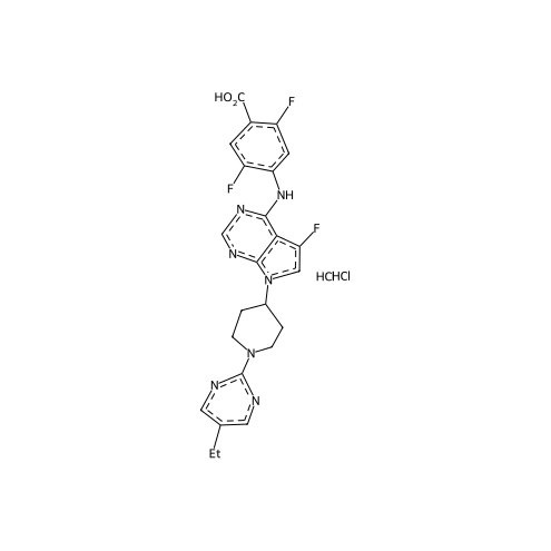 CCc1cnc(N2CCC(n3cc(F)c4c(Nc5cc(F)c(C(=O)O)cc5F)ncnc43)CC2)nc1.Cl.Cl